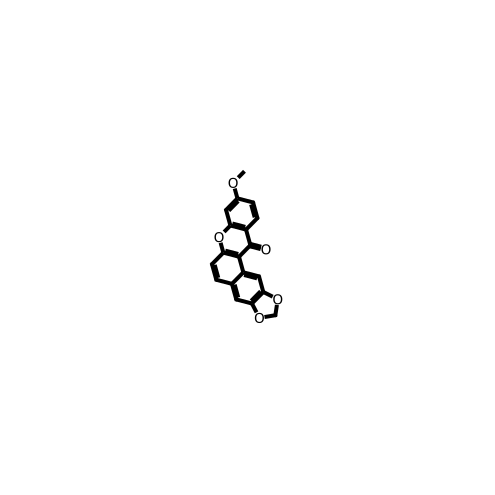 COc1ccc2c(=O)c3c(ccc4cc5c(cc43)OCO5)oc2c1